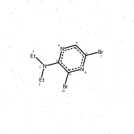 CCN(CC)c1ncc(Br)nc1Br